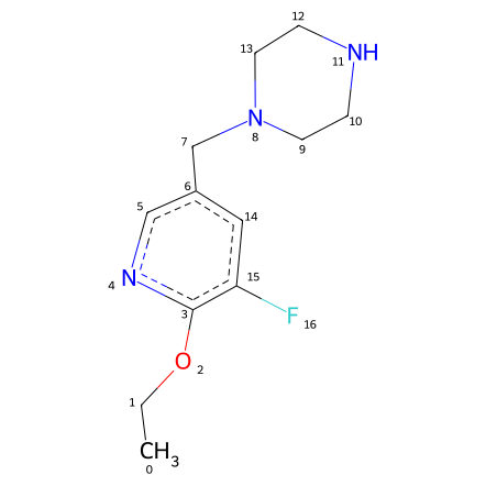 CCOc1ncc(CN2CCNCC2)cc1F